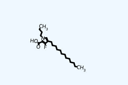 CCCCCCCCCCCCCc1cn(CCCC)c(C(=O)O)c1F